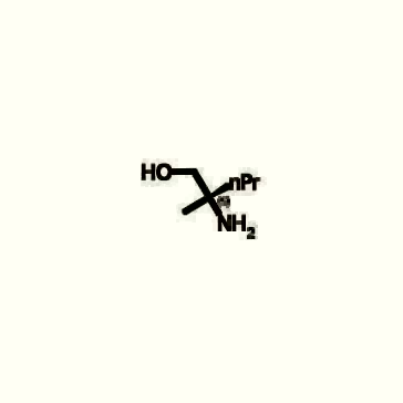 CCC[C@](C)(N)CO